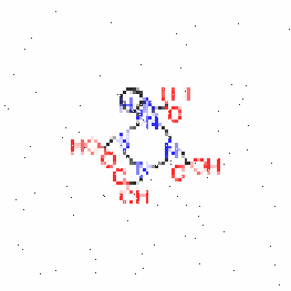 NC(C(=O)O)N1CCN(CC(=O)O)CCN(CC(=O)O)CCN(CC(=O)O)CC1c1ccccc1